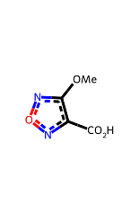 COc1nonc1C(=O)O